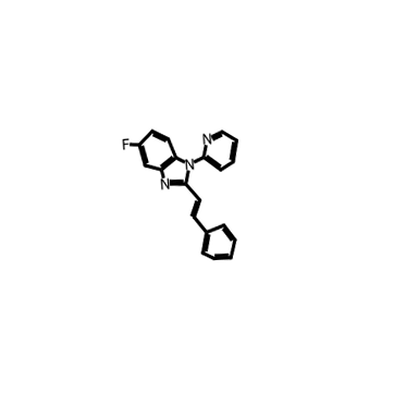 Fc1ccc2c(c1)nc(/C=C/c1ccccc1)n2-c1ccccn1